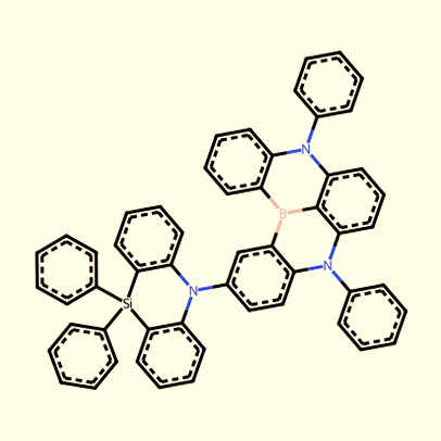 c1ccc(N2c3ccccc3B3c4cc(N5c6ccccc6[Si](c6ccccc6)(c6ccccc6)c6ccccc65)ccc4N(c4ccccc4)c4cccc2c43)cc1